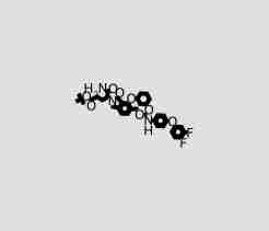 CC(C)(C)OC(=O)CCC(C(N)=O)N1Cc2ccc(COC(=O)Nc3ccc(Oc4ccc(F)c(F)c4)cc3)c(OC3CCCCC3)c2C1=O